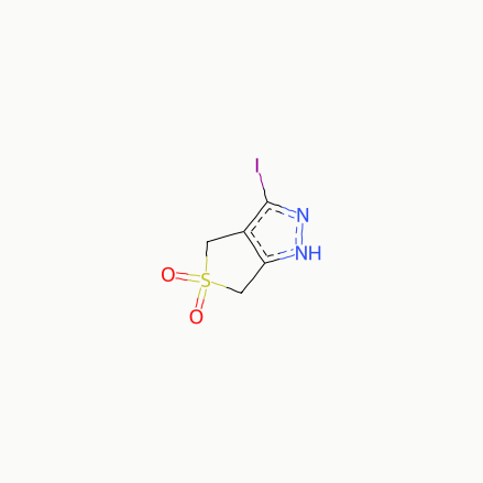 O=S1(=O)Cc2[nH]nc(I)c2C1